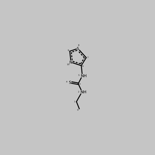 CCNC(=S)Nc1cscn1